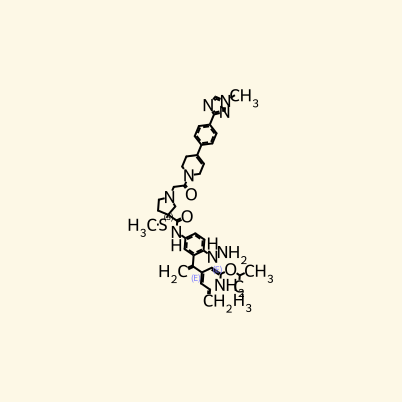 C=C/C=C(\C=C(/N)OC(C)C)C(=C)c1cc(NC(=O)[C@]2(SC)CCN(CC(=O)N3CC=C(c4ccc(-c5ncn(C)n5)cc4)CC3)C2)ccc1NN